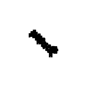 O=C(NC1CCN(C2CCC(O)(c3cncnc3)CC2)CC1)c1ccc(-c2cccc(F)c2)nc1